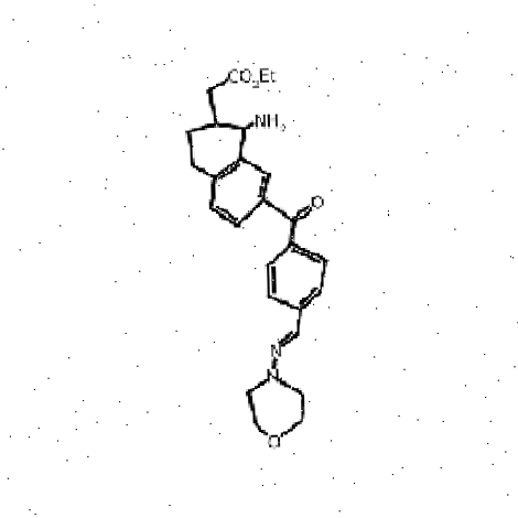 CCOC(=O)CC1CCc2ccc(C(=O)c3ccc(C=NN4CCOCC4)cc3)cc2C1N